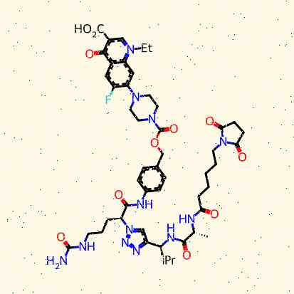 CCn1cc(C(=O)O)c(=O)c2cc(F)c(N3CCN(C(=O)OCc4ccc(NC(=O)[C@H](CCCNC(N)=O)n5cc([C@@H](NC(=O)[C@@H](C)NC(=O)CCCCCN6C(=O)CCC6=O)C(C)C)nn5)cc4)CC3)cc21